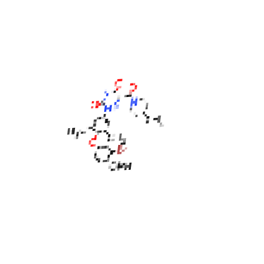 COc1ccc(Oc2c(C)cc(-n3nc(C(=O)N4CCC(C)CC4)c(=O)[nH]c3=O)cc2C)cc1Br